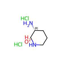 Cl.Cl.N[C@@H]1CCCNC1.O